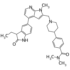 CCC1C(=O)Nc2ccc(-c3ccnc4c3cc(CN3CCC(c5ccc(C(=O)N(C)C)cc5)CC3)n4C)cc21